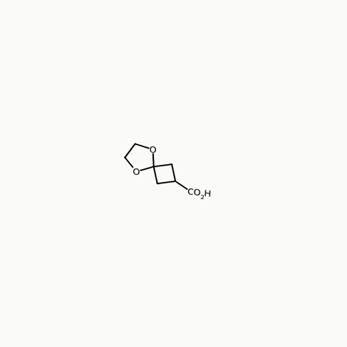 O=C(O)C1CC2(C1)OCCO2